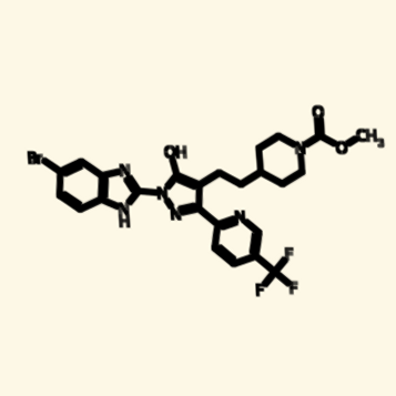 COC(=O)N1CCC(CCc2c(-c3ccc(C(F)(F)F)cn3)nn(-c3nc4cc(Br)ccc4[nH]3)c2O)CC1